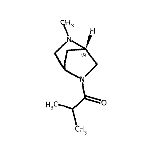 CC(C)C(=O)N1C[C@@H]2CC1CN2C